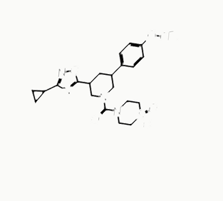 O=C(N1CCS(=O)(=O)CC1)N1CC(c2ccc(OC(F)(F)F)cc2)CC(c2nc(C3CC3)no2)C1